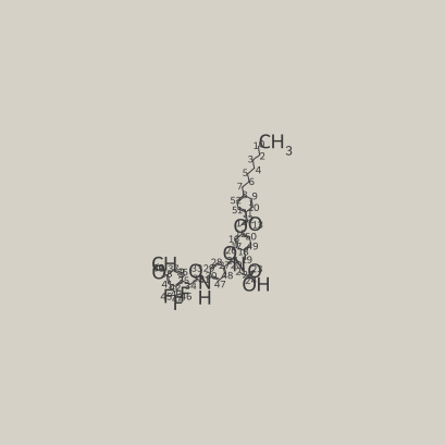 CCCCCCCCc1ccc(C(=O)Oc2ccc(CN(CC(=O)O)C(=O)c3ccc(NC(=O)Cc4ccc(OC)cc4C(F)(F)F)cc3)cc2)cc1